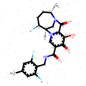 Cc1cc(F)c(CNC(=O)c2cn3c(c(O)c2=O)C(=O)N2C[C@@H]3[C@@H](F)CC[C@@H]2C)c(F)c1